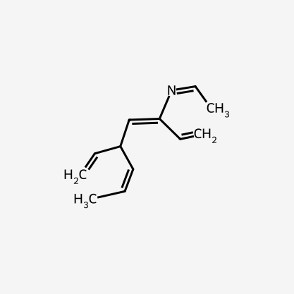 C=CC(=C\C(C=C)/C=C\C)/N=C\C